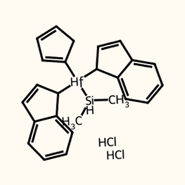 C[SiH](C)[Hf]([C]1=CC=CC1)([CH]1C=Cc2ccccc21)[CH]1C=Cc2ccccc21.Cl.Cl